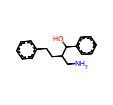 NCC(CCc1ccccc1)C(O)c1ccccc1